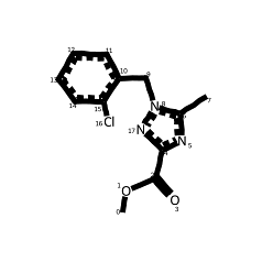 COC(=O)c1nc(C)n(Cc2ccccc2Cl)n1